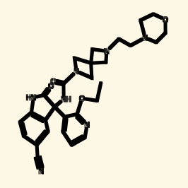 CCOc1ncccc1C1(NC(=O)N2CC3(CN(CCN4CCOCC4)C3)C2)C(=O)Nc2ccc(C#N)cc21